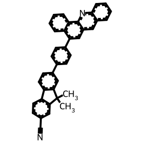 CC1(C)c2cc(C#N)ccc2-c2ccc(-c3ccc(-c4cc5cc6ccccc6nc5c5ccccc45)cc3)cc21